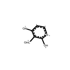 O=Cc1c(N=O)ccnc1O